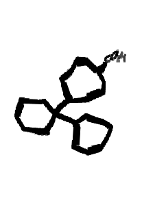 O=C(O)c1[c]cc(C2(c3ccccc3)CC=CCC2)cc1